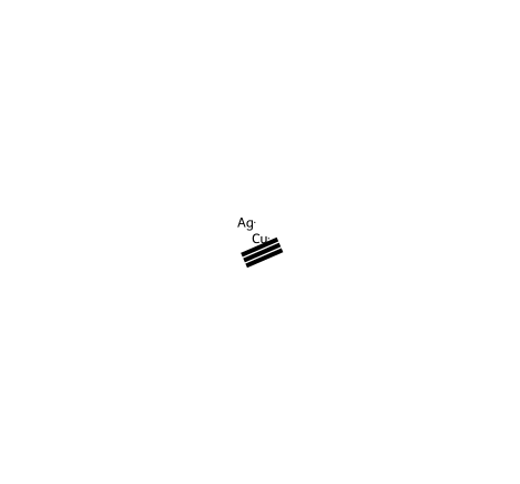 C#C.[Ag].[Cu]